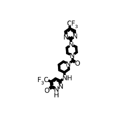 O=C(N1CCN(c2ncc(C(F)(F)F)cn2)CC1)N1CCCC(Nc2cc(C(F)(F)F)c(=O)[nH]n2)C1